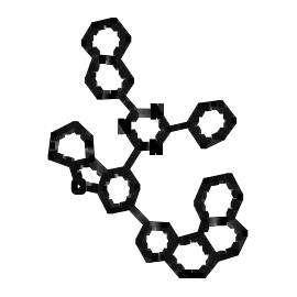 c1ccc(-c2nc(-c3ccc4ccccc4c3)nc(-c3cc(-c4ccc5ccc6ccc7ccccc7c6c5c4)cc4oc5ccccc5c34)n2)cc1